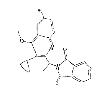 COc1c(C2CC2)c(C(C)N2C(=O)c3ccccc3C2=O)nc2ccc(F)cc12